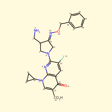 NCC1CN(c2nc3c(cc2F)c(=O)c(C(=O)O)cn3C2CC2)CC1=NOCc1ccccc1